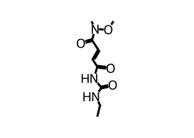 CCNC(=O)NC(=O)/C=C/C(=O)N(C)OC